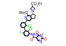 CCOC(=O)C1CN([C@@H]2CCc3cc(-c4cccc(-c5c(F)ccc(NC(=O)c6cn(C)c(=O)n(C)c6=O)c5Cl)c4Cl)nc(OC)c32)C1